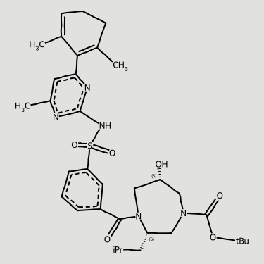 CC1=CCCC(C)=C1c1cc(C)nc(NS(=O)(=O)c2cccc(C(=O)N3C[C@H](O)CN(C(=O)OC(C)(C)C)C[C@@H]3CC(C)C)c2)n1